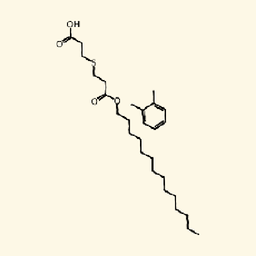 CCCCCCCCCCCCCCOC(=O)CCSCCC(=O)O.Cc1ccccc1C